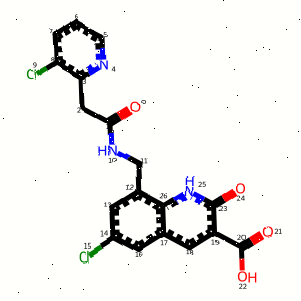 O=C(Cc1ncccc1Cl)NCc1cc(Cl)cc2cc(C(=O)O)c(=O)[nH]c12